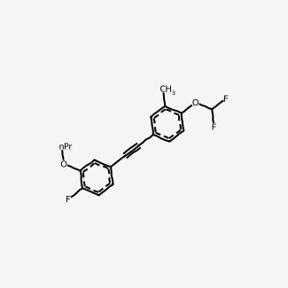 CCCOc1cc(C#Cc2ccc(OC(F)F)c(C)c2)ccc1F